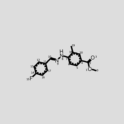 COC(=O)c1ccc(N/N=C/c2ccc(F)cc2)c(C)c1